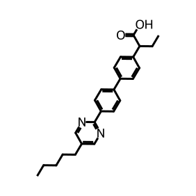 CCCCCc1cnc(-c2ccc(-c3ccc(C(CC)C(=O)O)cc3)cc2)nc1